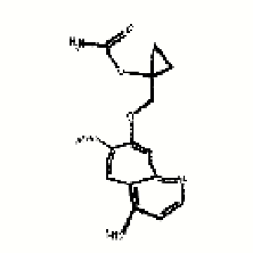 COc1cc2c(O)ccnc2cc1OCC1(OC(N)=O)CC1